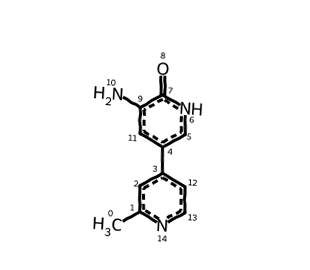 Cc1cc(-c2c[nH]c(=O)c(N)c2)ccn1